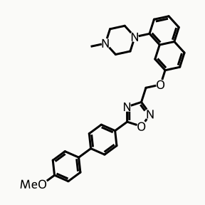 COc1ccc(-c2ccc(-c3nc(COc4ccc5cccc(N6CCN(C)CC6)c5c4)no3)cc2)cc1